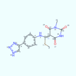 CS/C(Nc1ccc(-c2c[nH]nn2)cc1)=C1\C(=O)NC(=O)N(C)C1=O